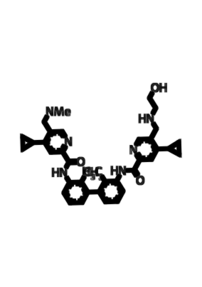 CNCc1cnc(C(=O)Nc2cccc(-c3cccc(NC(=O)c4cc(C5CC5)c(CNCCO)cn4)c3C)c2C)cc1C1CC1